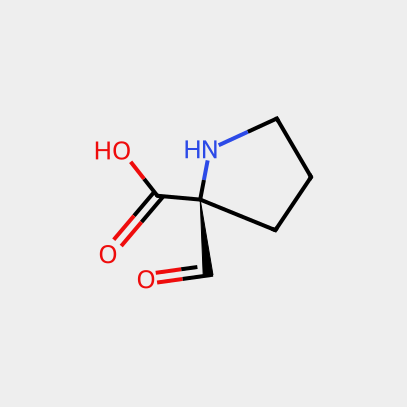 O=C[C@]1(C(=O)O)CCCN1